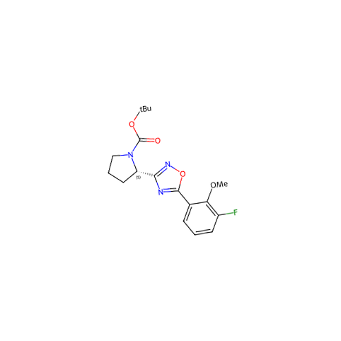 COc1c(F)cccc1-c1nc([C@@H]2CCCN2C(=O)OC(C)(C)C)no1